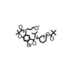 COCCCN1C(=O)C(C)(C)Oc2cc(Br)c(C(=O)N(C(C)C)C3CCCN(OC(=O)C(C)(C)C)C3)cc21